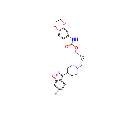 O=C(Nc1ccc2c(c1)OCCO2)OCC1CC1CN1CCC(c2noc3cc(F)ccc23)CC1